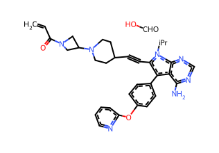 C=CC(=O)N1CC(N2CCC(C#Cc3c(-c4ccc(Oc5ccccn5)cc4)c4c(N)ncnc4n3C(C)C)CC2)C1.O=CO